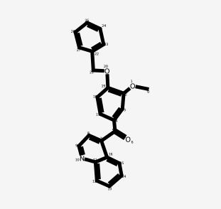 COc1cc(C(=O)c2ccnc3ccccc23)ccc1OCc1ccccc1